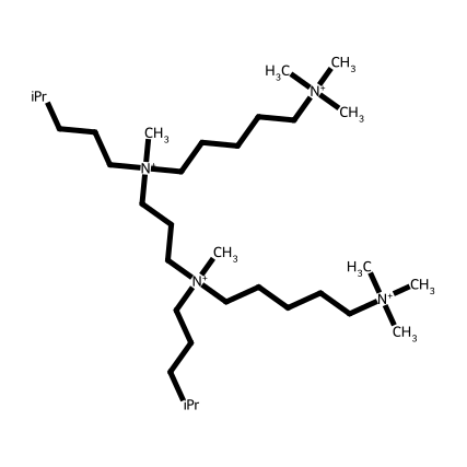 CC(C)CCC[N+](C)(CCCCC[N+](C)(C)C)CCC[N+](C)(CCCCC[N+](C)(C)C)CCCC(C)C